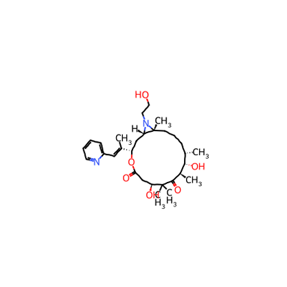 C/C(=C\c1ccccn1)[C@@H]1C[C@@H]2N(CCO)[C@]2(C)CCC[C@H](C)[C@H](O)[C@@H](C)C(=O)C(C)(C)[C@@H](O)CC(=O)O1